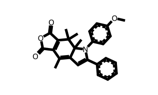 COc1ccc(N2C(c3ccccc3)=CC3=C(C)C4=C(C(=O)OC4=O)C(C)(C)C32C)cc1